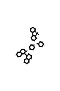 CC1(C)c2ccccc2-c2ccc(N(c3ccccc3)c3ccc(-n4c5ccc6ccccc6c5c5c6ccccc6ccc54)cc3)cc21